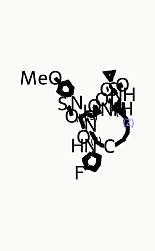 COc1ccc2nc(O[C@@H]3C[C@H]4C(=O)N[C@]5(C(=O)NS(=O)(=O)C6CC6)C[C@H]5/C=C\CCCCC[C@H](Nc5cccc(F)c5)C(=O)N4C3)sc2c1